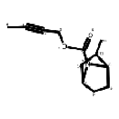 CC#CCOC(=O)N1C2CCC1C(C)C2